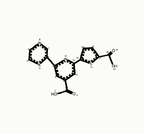 O=C(O)c1cc(-c2cnccn2)nc(-c2ccc(C(=O)O)s2)c1